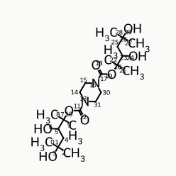 CC(C)(O)CC(O)C(C)(C)OC(=O)N1CCN(C(=O)OC(C)(C)C(O)CC(C)(C)O)CC1